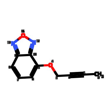 CC#CCOc1cccc2nonc12